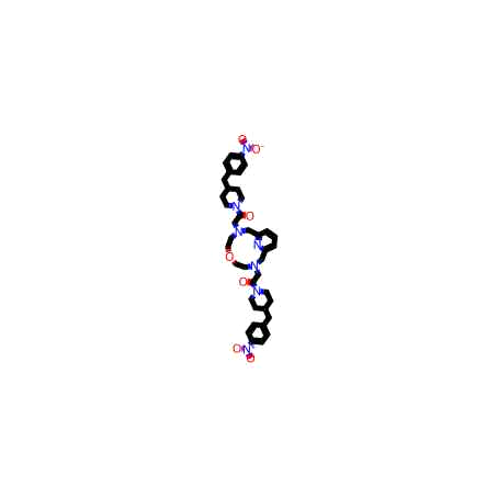 O=C(CN1CCOCCN(CC(=O)N2CCC(Cc3ccc([N+](=O)[O-])cc3)CC2)Cc2cccc(n2)C1)N1CCC(Cc2ccc([N+](=O)[O-])cc2)CC1